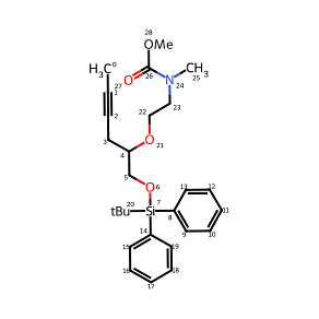 CC#CCC(CO[Si](c1ccccc1)(c1ccccc1)C(C)(C)C)OCCN(C)C(=O)OC